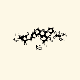 Cc1cc(C(F)(F)F)nc(-c2ccnc3cc(CN4C(=O)C5C(C4=O)C5(C)C)sc23)c1C(=O)N1CC[C@H](NC(=O)[C@H](C)N)C1.Cl.Cl